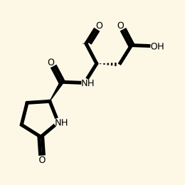 O=[C][C@H](CC(=O)O)NC(=O)[C@@H]1CCC(=O)N1